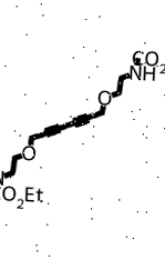 CCOC(=O)NCCOCC#CC#CCOCCNC(=O)OCC